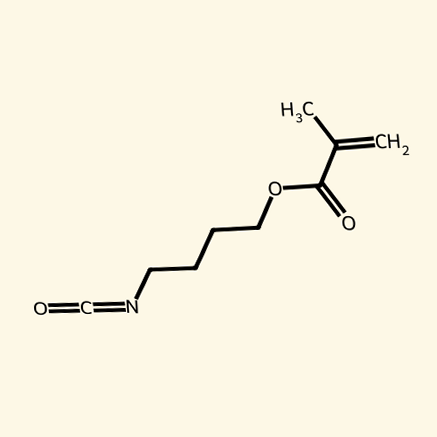 C=C(C)C(=O)OCCCCN=C=O